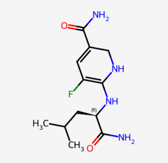 CC(C)C[C@@H](NC1=C(F)C=C(C(N)=O)CN1)C(N)=O